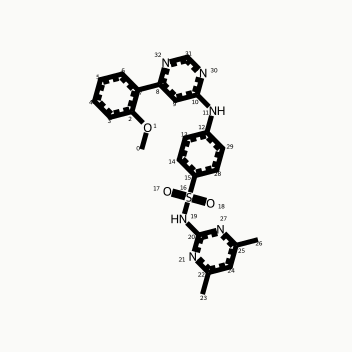 COc1ccccc1-c1cc(Nc2ccc(S(=O)(=O)Nc3nc(C)cc(C)n3)cc2)ncn1